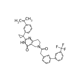 C=C(C)c1cccc(C2(c3nc4c(c(=O)[nH]3)CN(C(=O)Cc3cccc(-c5cccc(C(F)(F)F)c5)c3)CC4)CC2)c1